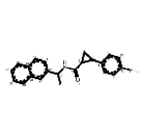 CC(NC(=O)C1CC1c1ccc(F)cc1)c1ccc2ccccc2c1